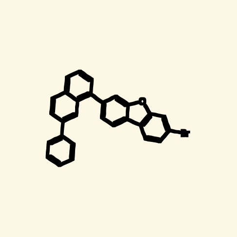 Brc1ccc2c(c1)oc1cc(-c3cccc4ccc(-c5ccccc5)cc34)ccc12